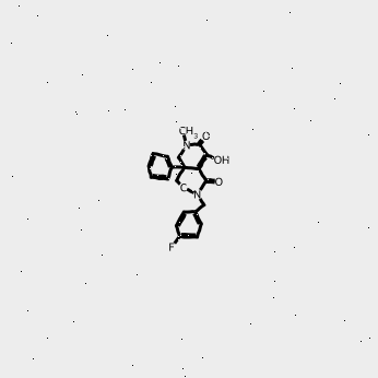 CN1CC2(c3ccccc3)CCN(Cc3ccc(F)cc3)C(=O)C2=C(O)C1=O